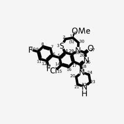 CO[C@@H]1CSc2c(-c3ccc(F)cc3F)c(Cl)cc3c(N4CCNCC4)nc(=O)n(c23)C1